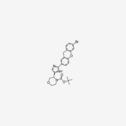 CC(C)(C)OC(=O)N1CCOC[C@H]1c1cnc(-c2ccc3c(c2)Cc2ccc(Br)cc2O3)[nH]1